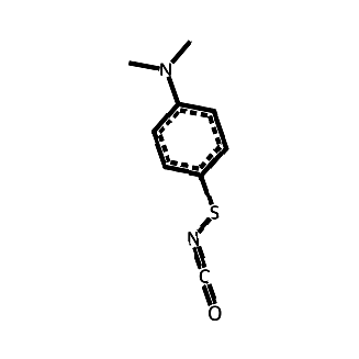 CN(C)c1ccc(SN=C=O)cc1